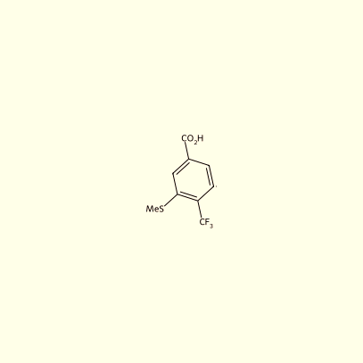 CSc1cc(C(=O)O)c[c]c1C(F)(F)F